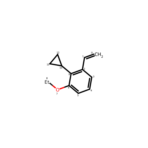 C=Cc1cccc(OCC)c1C1CC1